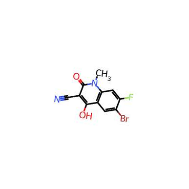 Cn1c(=O)c(C#N)c(O)c2cc(Br)c(F)cc21